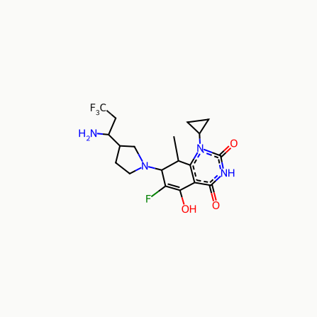 CC1c2c(c(=O)[nH]c(=O)n2C2CC2)C(O)=C(F)C1N1CCC(C(N)CC(F)(F)F)C1